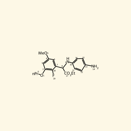 CCCOc1cc(OC)cc(C(Nc2ccc(N)cc2)C(=O)OCC)c1F